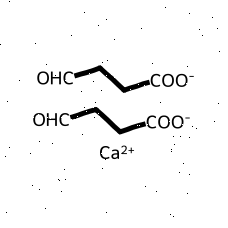 O=CCCC(=O)[O-].O=CCCC(=O)[O-].[Ca+2]